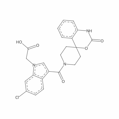 O=C(O)Cn1cc(C(=O)N2CCC3(CC2)OC(=O)Nc2ccccc23)c2ccc(Cl)cc21